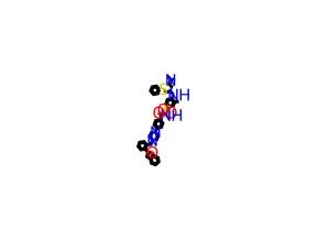 Cc1cc(S(=O)(=O)NC(=O)c2ccc(N3CCN(Cc4ccccc4-c4cc5ccccc5o4)CC3)cc2)ccc1N[C@H](CCN(C)C)CSc1ccccc1